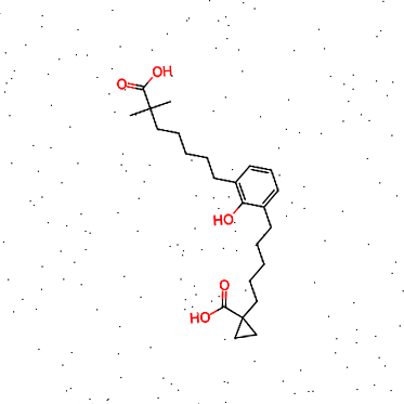 CC(C)(CCCCCc1cccc(CCCCCC2(C(=O)O)CC2)c1O)C(=O)O